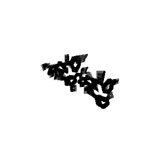 CC(C)n1cnc2c(Nc3cc(Cl)cc(CC(C)n4cnc5c(Nc6cccc(Cl)c6)nc(N[C@H]6CCCNC6)nc54)c3)nc(N[C@@H]3CCCNC3)nc21